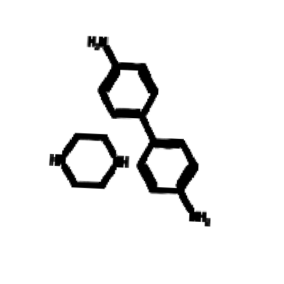 C1CNCCN1.Nc1ccc(-c2ccc(N)cc2)cc1